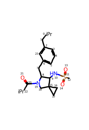 CC(C)Cc1cccc(CC2C(NS(C)(=O)=O)C3(CC3)CN2C(=O)C(C)C)c1